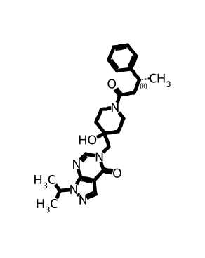 CC(C)n1ncc2c(=O)n(CC3(O)CCN(C(=O)C[C@@H](C)c4ccccc4)CC3)cnc21